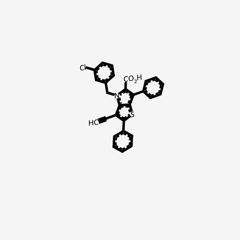 C#Cc1c(-c2ccccc2)sc2c(-c3ccccc3)c(C(=O)O)n(Cc3cccc(Cl)c3)c12